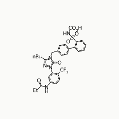 CCCCc1nn(-c2cc(NC(=O)CC)ccc2C(F)(F)F)c(=O)n1Cc1ccc(-c2ccccc2S(=O)(=O)NC(=O)O)cc1